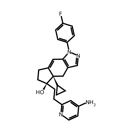 Nc1ccnc(CC[C@]2(O)CCC3=Cc4c(cnn4-c4ccc(F)cc4)C[C@@]32C2CC2)c1